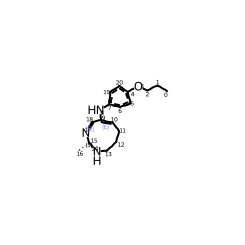 CCCOc1ccc(NC2=C/CCCN[C@H](C)/N=C\2)cc1